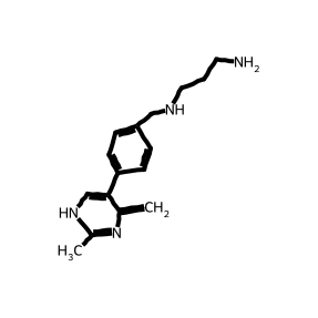 C=C1N=C(C)NC=C1c1ccc(CNCCCN)cc1